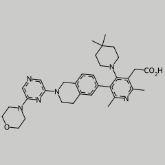 Cc1nc(C)c(-c2ccc3c(c2)CCN(c2cncc(N4CCOCC4)n2)C3)c(N2CCC(C)(C)CC2)c1CC(=O)O